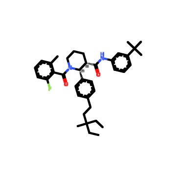 CCC(C)(CC)CCc1ccc([C@H]2[C@@H](C(=O)Nc3cccc(C(C)(C)C)c3)CCCN2C(=O)c2c(C)cccc2F)cc1